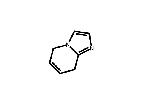 C1=CCn2ccnc2C1